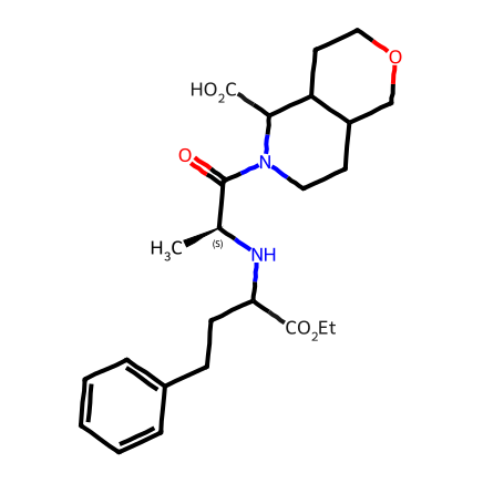 CCOC(=O)C(CCc1ccccc1)N[C@@H](C)C(=O)N1CCC2COCCC2C1C(=O)O